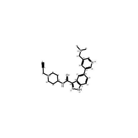 C#CCN1CCC(NC(=O)c2n[nH]c3ccc(-c4cncc(CN(C)C)c4)cc23)CC1